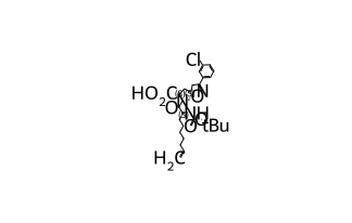 C=CCCCCC[C@H](NC(=O)OC(C)(C)C)C(=O)N1C[C@@]2(CC(c3cccc(Cl)c3)=NO2)C[C@H]1C(=O)O